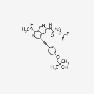 CNc1ncc(C#Cc2ccc(OCC(C)(C)O)cc2)c2cc(NC(=O)[C@@H]3C[C@@H]3C(F)F)ncc12